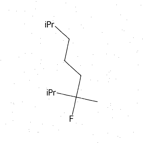 CC(C)CCCC(C)(F)C(C)C